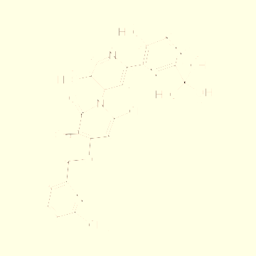 Cc1cccc(COc2cc(C)n(-c3cc(-c4nc(C(C)(C)O)ncc4C)ncc3C)c(=O)c2Cl)n1